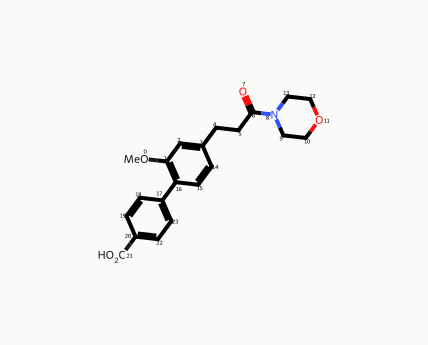 COc1cc(CCC(=O)N2CCOCC2)ccc1-c1ccc(C(=O)O)cc1